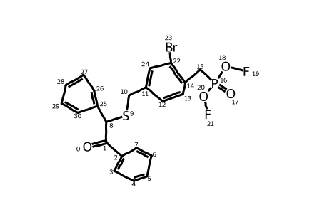 O=C(c1ccccc1)C(SCc1ccc(CP(=O)(OF)OF)c(Br)c1)c1ccccc1